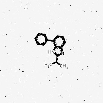 CC(C)c1nc2cccc(-c3ccccc3)c2[nH]1